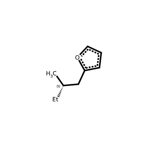 CC[C@H](C)Cc1ccco1